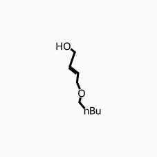 CCCCCOCC=CCO